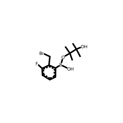 CC(C)(O)C(C)(C)OB(O)c1cccc(F)c1CBr